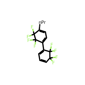 CCCC1=CC=C(C2=CC=CC(F)(F)C2(F)F)C(F)(F)C1(F)F